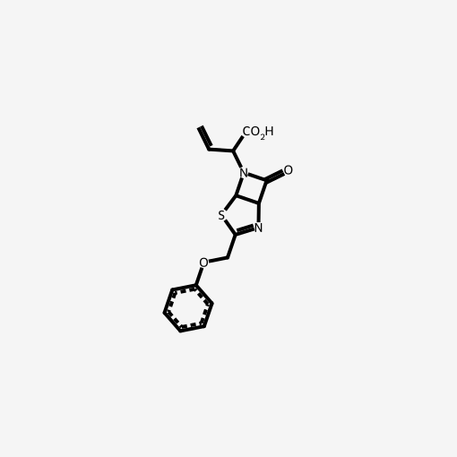 C=CC(C(=O)O)N1C(=O)C2N=C(COc3ccccc3)SC21